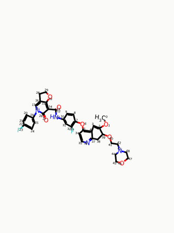 COC1=Cc2c(Oc3ccc(NC(=O)c4c5c(cn(-c6ccc(F)cc6)c4=O)CCO5)cc3F)ccnc2CC1OCCN1CCOCC1